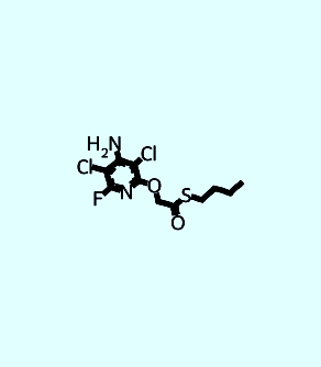 CCCCSC(=O)COc1nc(F)c(Cl)c(N)c1Cl